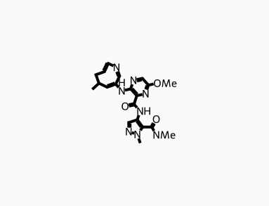 CNC(=O)c1c(NC(=O)c2nc(OC)cnc2NC2=C/C(C)C/C=C/N=C\2)cnn1C